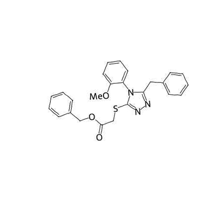 COc1ccccc1-n1c(Cc2ccccc2)nnc1SCC(=O)OCc1ccccc1